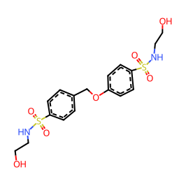 O=S(=O)(NCCO)c1ccc(COc2ccc(S(=O)(=O)NCCO)cc2)cc1